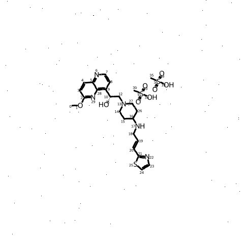 COc1ccc2nccc([C@@H](O)CN3CCC(NC/C=C/c4nccs4)CC3)c2n1.CS(=O)(=O)O.CS(=O)(=O)O